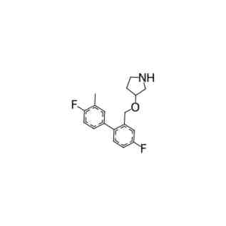 Cc1cc(-c2ccc(F)cc2COC2CCNC2)ccc1F